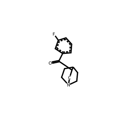 O=C(c1cccc(F)c1)C1CN2CCC1CC2